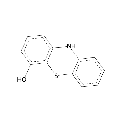 Oc1cccc2c1Sc1ccccc1N2